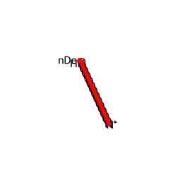 CCCCCCCCCCCCC(=O)NCCOCCOCCOCCOCCOCCOCCOCCOCCOCCOCCOCCOCCOCCOCCOCCOCCOCCOCCOCCOCCOCCOCCOCCN=[N+]=[N-]